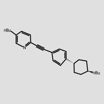 CCCCc1ccc(C#Cc2ccc([C@H]3CC[C@H](CCCC)CC3)cc2)nc1